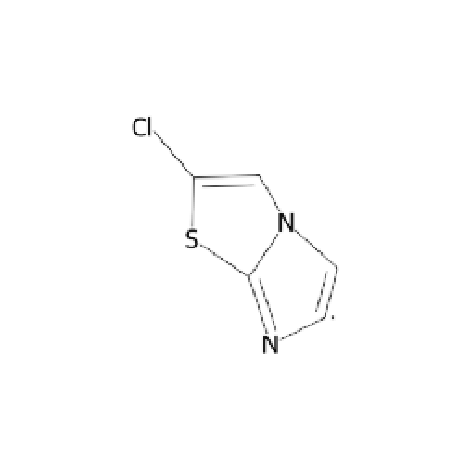 Clc1cn2c[c]nc2s1